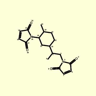 CC(CN1C(=O)C=CC1=O)C1CCC(C)C(N2C(=O)C=CC2=O)C1